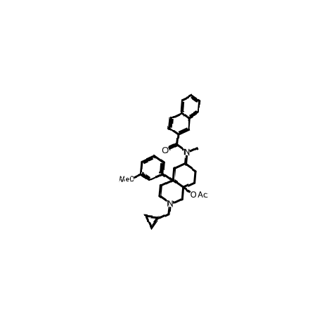 COc1cccc(C23CCN(CC4CC4)CC2(OC(C)=O)CCC(N(C)C(=O)c2ccc4ccccc4c2)C3)c1